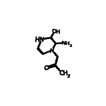 CC(=O)CN1CCNC(O)C1N